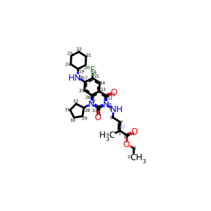 CCOC(=O)/C(C)=C/CNn1c(=O)c2cc(F)c(NC3CCCCC3)cc2n(C2CCCC2)c1=O